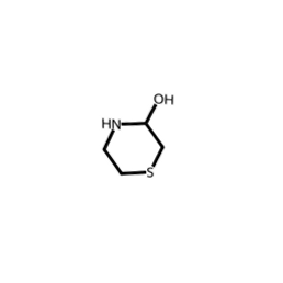 OC1CSCCN1